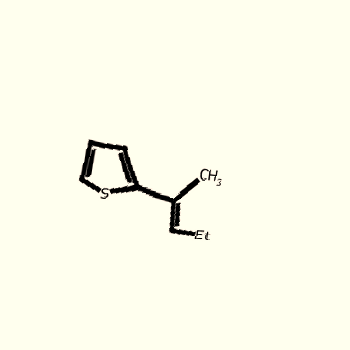 CC/C=C(\C)c1cccs1